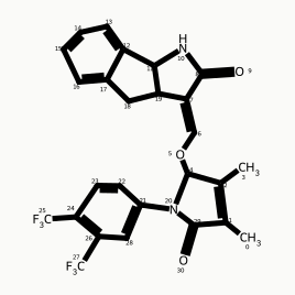 CC1=C(C)C(OC=C2C(=O)NC3c4ccccc4CC23)N(c2ccc(C(F)(F)F)c(C(F)(F)F)c2)C1=O